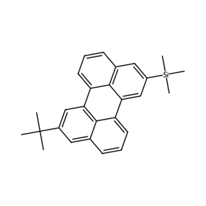 CC(C)(C)c1cc2cccc3c4cc([Si](C)(C)C)cc5cccc(c(c1)c23)c54